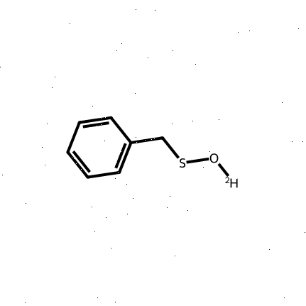 [2H]OSCc1ccccc1